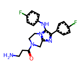 NCCC(=O)N1CCn2c(nc(-c3ccc(F)cc3)c2Nc2ccc(F)cc2)C1